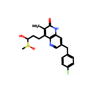 CCOC(=O)c1c(CCC(O)[S+](C)[O-])c2ncc(Cc3ccc(F)cc3)cc2[nH]c1=O